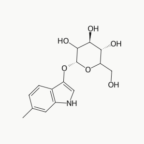 Cc1ccc2c(O[C@H]3OC(CO)[C@@H](O)[C@H](O)C3O)c[nH]c2c1